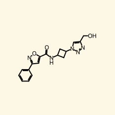 O=C(NC1CC(n2cc(CO)nn2)C1)c1cc(-c2ccccc2)no1